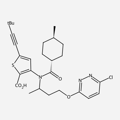 CC(CCOc1ccc(Cl)nn1)N(c1cc(C#CC(C)(C)C)sc1C(=O)O)C(=O)[C@H]1CC[C@H](C)CC1